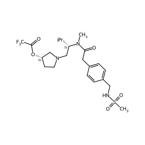 CC(C)[C@@H](CN1CC[C@H](OC(=O)C(F)(F)F)C1)N(C)C(=O)Cc1ccc(CNS(C)(=O)=O)cc1